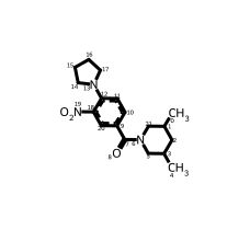 CC1CC(C)CN(C(=O)c2ccc(N3CCCC3)c([N+](=O)[O-])c2)C1